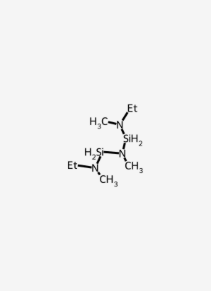 CCN(C)[SiH2]N(C)[SiH2]N(C)CC